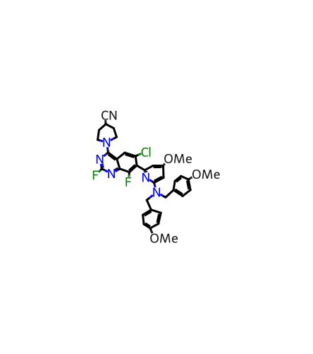 COc1ccc(CN(Cc2ccc(OC)cc2)c2cc(OC)cc(-c3c(Cl)cc4c(N5CCC(C#N)CC5)nc(F)nc4c3F)n2)cc1